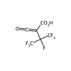 O=C=C(C(=O)O)C(F)(C(F)(F)F)C(F)(F)F